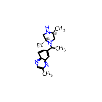 CC[C@@H]1CN[C@@H](C)CN1C(C)c1ccc2ncc(C)nc2c1